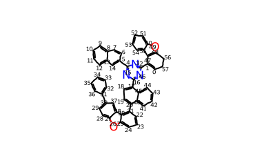 C1=C(c2nc(-c3ccc4ccccc4c3)nc(-c3ccc(-c4cccc5oc6ccc(-c7ccccc7)cc6c45)c4ccccc34)n2)c2c(oc3ccccc23)CC1